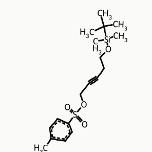 Cc1ccc(S(=O)(=O)OCC#CCCO[Si](C)(C)C(C)(C)C)cc1